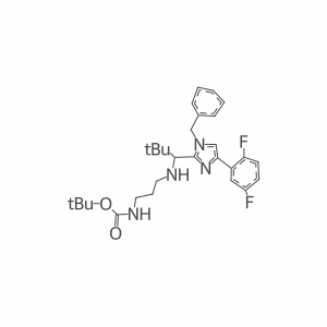 CC(C)(C)OC(=O)NCCCNC(c1nc(-c2cc(F)ccc2F)cn1Cc1ccccc1)C(C)(C)C